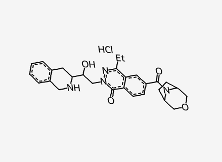 CCc1nn(CC(O)C2Cc3ccccc3CN2)c(=O)c2ccc(C(=O)N3C4CCC3COC4)cc12.Cl